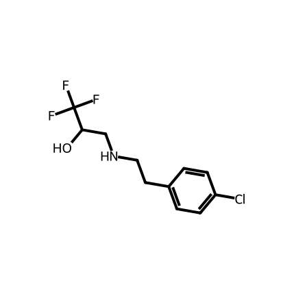 OC(CNCCc1ccc(Cl)cc1)C(F)(F)F